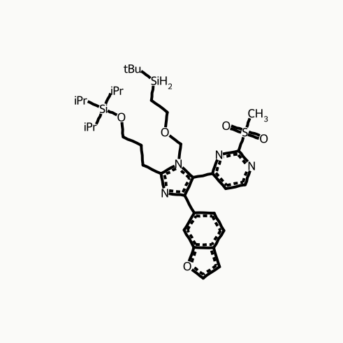 CC(C)[Si](OCCCc1nc(-c2ccc3ccoc3c2)c(-c2ccnc(S(C)(=O)=O)n2)n1COCC[SiH2]C(C)(C)C)(C(C)C)C(C)C